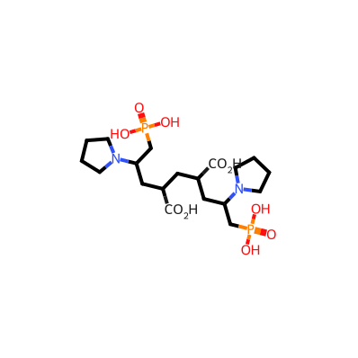 O=C(O)C(CC(CC(CP(=O)(O)O)N1CCCC1)C(=O)O)CC(CP(=O)(O)O)N1CCCC1